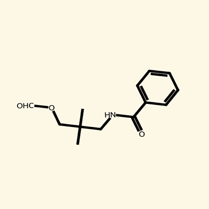 CC(C)(CNC(=O)c1ccccc1)COC=O